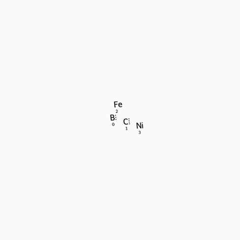 [B].[C].[Fe].[Ni]